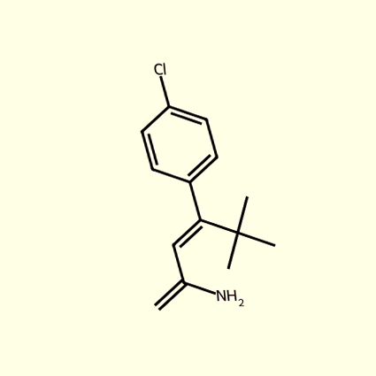 C=C(N)/C=C(/c1ccc(Cl)cc1)C(C)(C)C